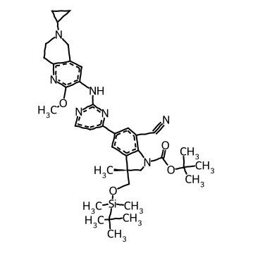 COc1nc2c(cc1Nc1nccc(-c3cc(C#N)c4c(c3)[C@@](C)(CO[Si](C)(C)C(C)(C)C)CN4C(=O)OC(C)(C)C)n1)CN(C1CC1)CC2